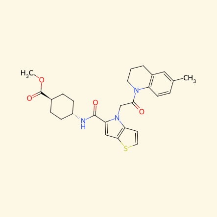 COC(=O)[C@H]1CC[C@H](NC(=O)c2cc3sccc3n2CC(=O)N2CCCc3cc(C)ccc32)CC1